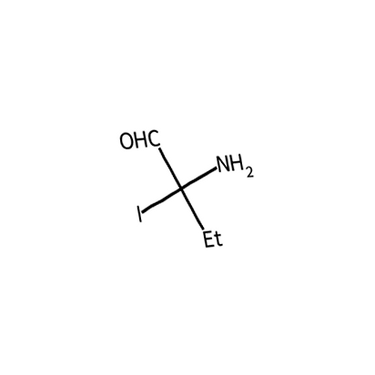 CCC(N)(I)C=O